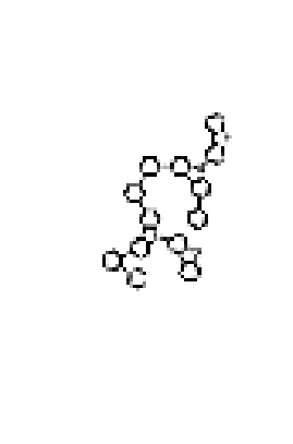 c1ccc(-c2ccc3c(c2)c2cc(-c4cccc(-c5cccc(-c6ccc7c(c6)c6cc(-c8ccccc8-c8ccccc8)ccc6n7-c6ccc7oc8ccccc8c7c6)c5)c4)ccc2n3-c2ccc3oc4ccccc4c3c2)cc1